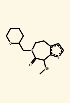 CNC1C(=O)N(CC2CCCCO2)CCc2ccsc21